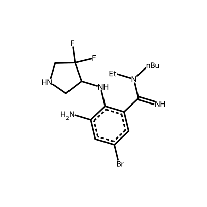 CCCCN(CC)C(=N)c1cc(Br)cc(N)c1NC1CNCC1(F)F